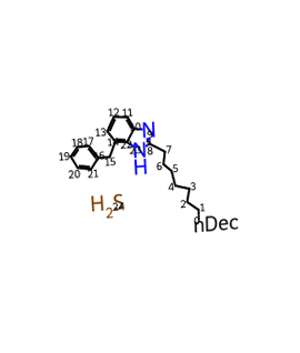 CCCCCCCCCCCCCCCCCc1nc2cccc(Cc3ccccc3)c2[nH]1.S